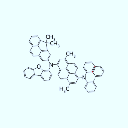 Cc1cc(N(c2ccccc2)c2ccccc2-c2ccccc2)c2ccc3c(C)cc(N(c4cc5c6c(ccc7cccc(c76)C5(C)C)c4)c4cccc5c4oc4ccccc45)c4ccc1c2c34